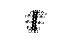 CCCCc1c2c(c(CCCC)c(C(=O)OC)c1C(=O)OC)Cc1c(c(CCCC)c3cc4c(CC)c(CC)c(CC)c(CC)c4cc3c1CCCC)C2